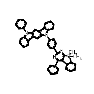 C[Si]1(C)c2ccccc2-c2c(-c3ccccc3)nc(-c3ccc(-n4c5ccccc5c5cc6c(cc54)c4ccccc4n6-c4ccccc4)cc3)nc21